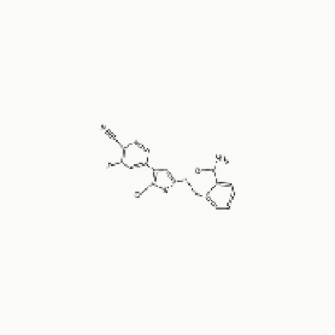 N#Cc1ccc(-c2cc([CH]Cc3ccccc3C(N)=O)sc2Cl)cc1F